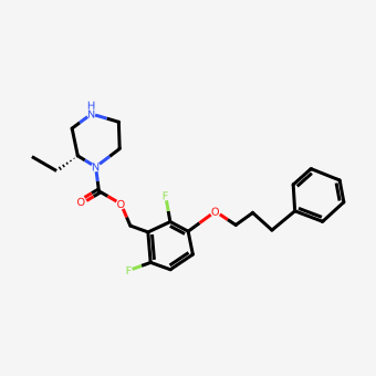 CC[C@@H]1CNCCN1C(=O)OCc1c(F)ccc(OCCCc2ccccc2)c1F